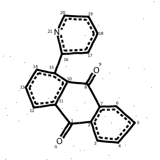 O=C1c2ccccc2C(=O)c2c1cccc2-c1ccccn1